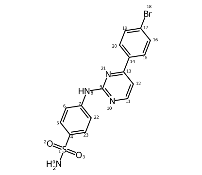 NS(=O)(=O)c1ccc(Nc2nccc(-c3ccc(Br)cc3)n2)cc1